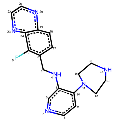 Fc1c(CNc2cnccc2N2CCNCC2)ccc2nccnc12